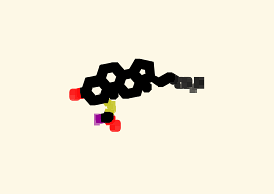 CC12CCC3C(CCC4=CC(=O)C[C@H](SC(=O)I)C43C)C1CC[C@H]2CCC(=O)O